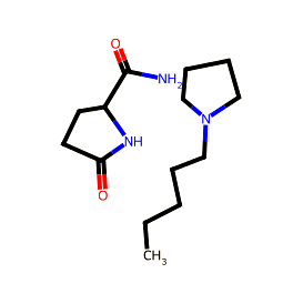 CCCCCN1CCCC1.NC(=O)C1CCC(=O)N1